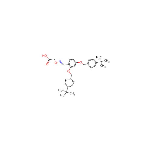 CC(C)(C)c1ccc(COc2ccc(C=NOCC(=O)O)c(OCc3ccc(C(C)(C)C)cc3)c2)cc1